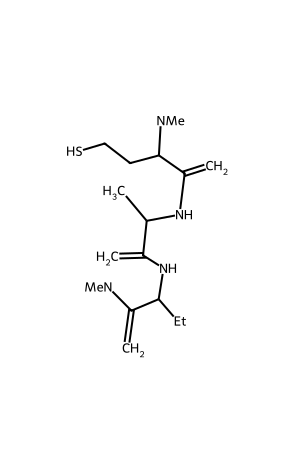 C=C(NC(CC)C(=C)NC)C(C)NC(=C)C(CCS)NC